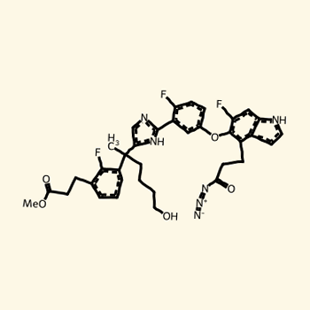 COC(=O)CCc1cccc(C(C)(CCCCO)c2cnc(-c3cc(Oc4c(F)cc5[nH]ccc5c4CCC(=O)N=[N+]=[N-])ccc3F)[nH]2)c1F